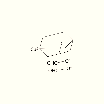 C1C2CC3CC1CC(C2)C3.O=C[O-].O=C[O-].[Cu+2]